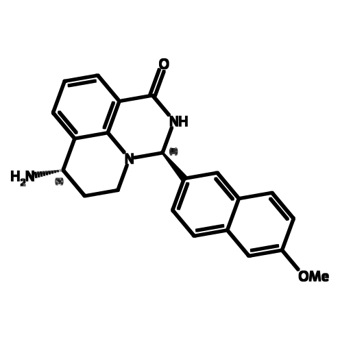 COc1ccc2cc([C@@H]3NC(=O)c4cccc5c4N3CC[C@@H]5N)ccc2c1